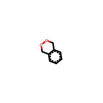 [c]1ccc2c(c1)COOC2